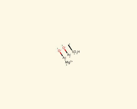 CC(=O)[O-].CC(=O)[O-].CS(=O)(=O)O.[Mg+2]